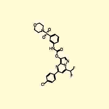 O=C(Nc1cccc(S(=O)(=O)N2CCOCC2)c1)Oc1cnn2c(C(F)F)cc(-c3ccc(Cl)cc3)nc12